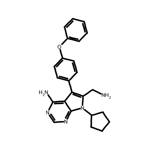 NCc1c(-c2ccc(Oc3ccccc3)cc2)c2c(N)ncnc2n1C1CCCC1